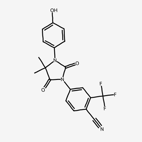 CC1(C)C(=O)N(c2ccc(C#N)c(C(F)(F)F)c2)C(=O)N1c1ccc(O)cc1